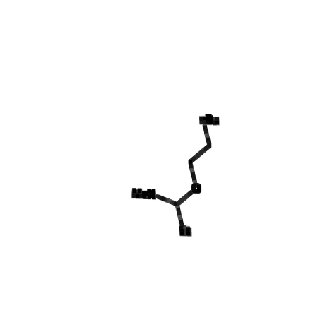 CCCCCCOC(CC)NC